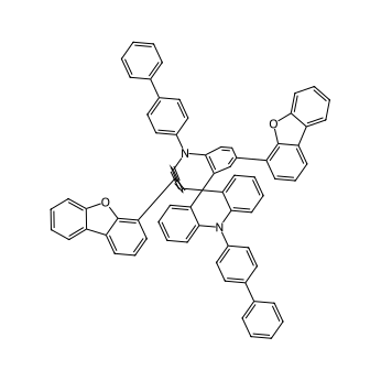 c1ccc(-c2ccc(N3c4ccccc4C4(c5ccccc53)c3cc(-c5cccc6c5oc5ccccc56)ccc3N(c3ccc(-c5ccccc5)cc3)c3ccc(-c5cccc6c5oc5ccccc56)cc34)cc2)cc1